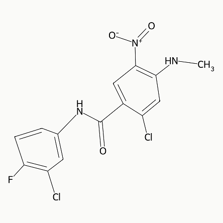 CNc1cc(Cl)c(C(=O)Nc2ccc(F)c(Cl)c2)cc1[N+](=O)[O-]